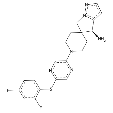 N[C@@H]1c2ccnn2CC12CCN(c1cnc(Sc3ccc(F)cc3F)cn1)CC2